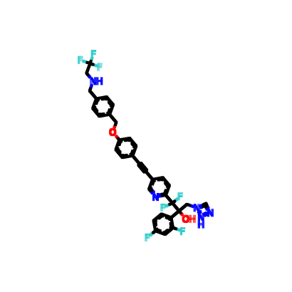 OC(Cn1cn[nH]1)(c1ccc(F)cc1F)C(F)(F)c1ccc(C#Cc2ccc(OCc3ccc(CNCC(F)(F)F)cc3)cc2)cn1